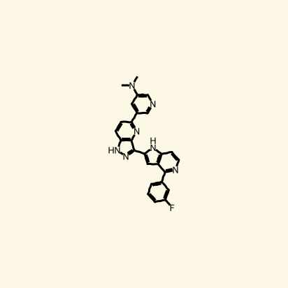 CN(C)c1cncc(-c2ccc3[nH]nc(-c4cc5c(-c6cccc(F)c6)nccc5[nH]4)c3n2)c1